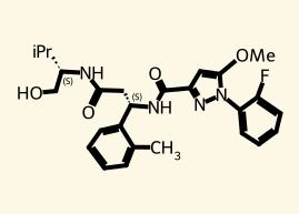 COc1cc(C(=O)N[C@@H](CC(=O)N[C@H](CO)C(C)C)c2ccccc2C)nn1-c1ccccc1F